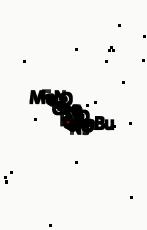 CCCCOC1CC(NC(=O)c2cccc(-c3cc4c(C(=O)NC)c(-c5ccc(F)cc5)oc4cc3CCC(F)(F)F)c2)(c2ncccn2)C1